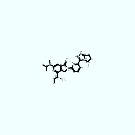 CC[C@@H](N)c1nc(N(C)C(C)C)cc2c1CN(c1cccc(-c3nnc4n3[C@@H](C)CC4)n1)C2=O